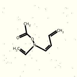 C=C/C=C\N(C=C)OC(C)=O